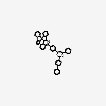 c1ccc(-c2ccc(-c3nc(-c4ccccc4)cc(-c4ccc(-c5nc6c(c7ccccc57)C5(c7ccccc7-c7ccccc75)c5ccccc5-6)cc4)n3)cc2)cc1